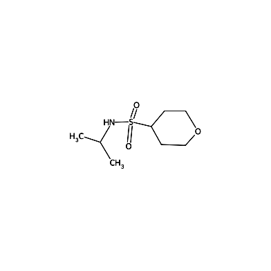 CC(C)NS(=O)(=O)C1CCOCC1